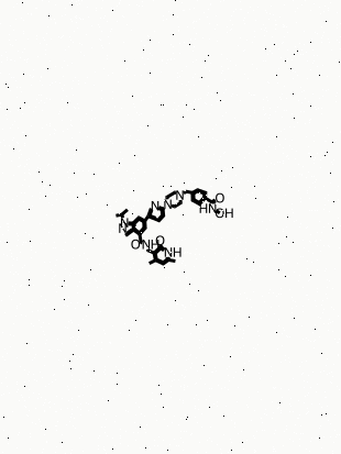 Cc1cc(C)c(CNC(=O)c2cc(-c3ccc(N4CCN(Cc5ccc(C(=O)NO)cc5)CC4)nc3)cc3c2cnn3C(C)C)c(=O)[nH]1